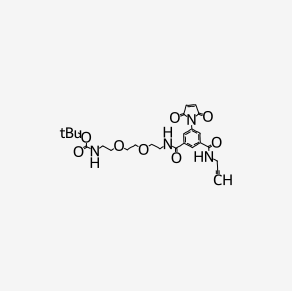 C#CCNC(=O)c1cc(C(=O)NCCOCCOCCNC(=O)OC(C)(C)C)cc(N2C(=O)C=CC2=O)c1